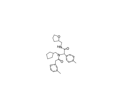 Cc1ccc(C(C(=O)NCC2CCCO2)N(CC2CCCC2)C(=O)Cc2cccc(C)c2)cc1